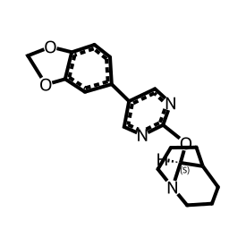 c1cc2c(cc1-c1cnc(O[C@H]3C4CCCN3CCC4)nc1)OCO2